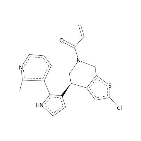 C=CC(=O)N1Cc2sc(Cl)cc2[C@@H](c2cc[nH]c2-c2cccnc2C)C1